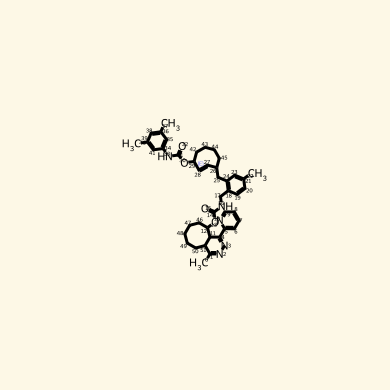 CC1=NN=C(c2ccccn2)C2C(OC(=O)NCc3ccc(C)cc3CC3/C=C/C(OC(=O)Nc4cc(C)cc(C)c4)CCCC3)CCCCCC12